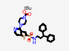 CC(C)(C)OC(=O)N1CCN(c2nccc3sc(S(=O)(=O)NCCC(c4ccccc4)c4ccccc4)cc23)CC1